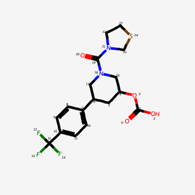 O=C(O)OC1CC(c2ccc(C(F)(F)F)cc2)CN(C(=O)N2CCSC2)C1